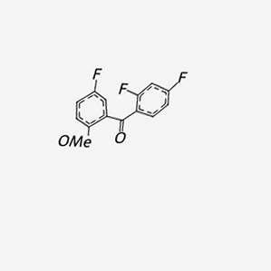 COc1ccc(F)cc1C(=O)c1ccc(F)cc1F